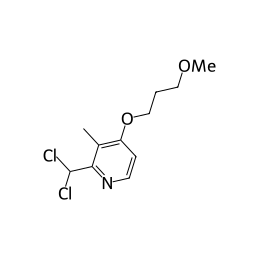 COCCCOc1ccnc(C(Cl)Cl)c1C